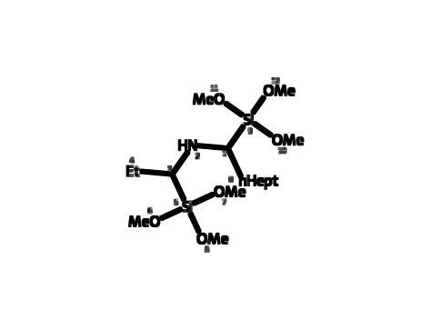 CCCCCCCC(NC(CC)[Si](OC)(OC)OC)[Si](OC)(OC)OC